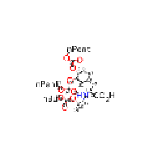 CCCCCOC(=O)Oc1ccc(C[C@H](NCC(C)OC(=O)OCCCC)C(=O)O)cc1OC(=O)OCCCCC